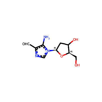 Nc1c(C=O)ncn1[C@H]1CC(O)[C@@H](CO)O1